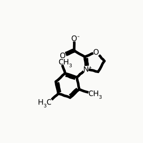 Cc1cc(C)c([N+]2=C(C(=O)[O-])OCC2)c(C)c1